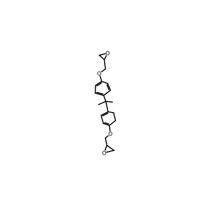 CC(C)(C1=CC=C(OCC2CO2)CC1)c1ccc(OCC2CO2)cc1